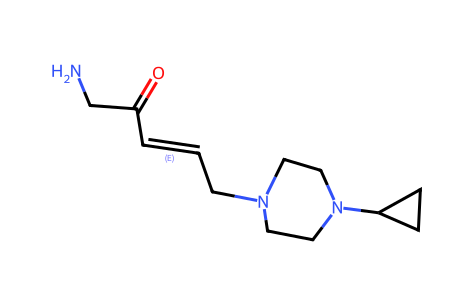 NCC(=O)/C=C/CN1CCN(C2CC2)CC1